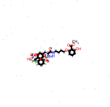 COC(=O)c1c(O)cccc1OCCCCNC(=O)[C@H](Cc1ccc(C(F)(F)P(=O)(O)O)cc1)NS(=O)(=O)c1ccccc1